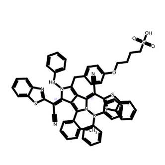 Cc1ccccc1-c1c2/c(=C(\C#N)c3nc4ccccc4s3)n(Bc3ccccc3)c(Cc3ccc(OCCCCS(=O)(=O)O)cc3)c2/c(=C(\C#N)c2nc3ccccc3s2)n1B(c1ccccc1)c1ccccc1